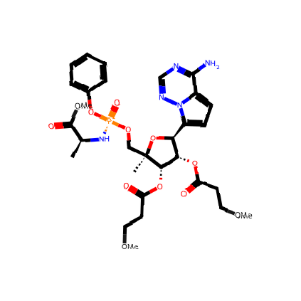 COCCC(=O)O[C@H]1[C@H](c2ccc3c(N)ncnn23)O[C@](C)(CO[P@@](=O)(N[C@@H](C)C(=O)OC)Oc2ccccc2)[C@H]1OC(=O)CCOC